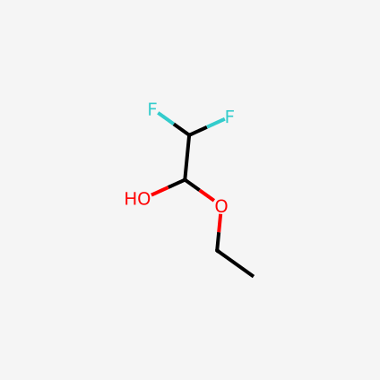 CCOC(O)C(F)F